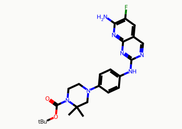 CC(C)(C)OC(=O)N1CCN(c2ccc(Nc3ncc4cc(F)c(N)nc4n3)cc2)CC1(C)C